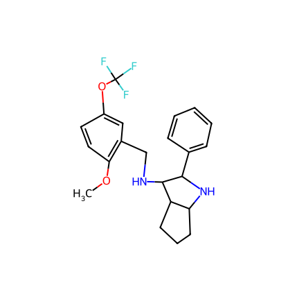 COc1ccc(OC(F)(F)F)cc1CNC1C(c2ccccc2)NC2CCCC21